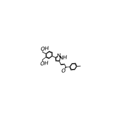 Cc1ccc(C(=O)/C=C/c2cc(-c3ccc(CO)c(CO)c3)n[nH]2)cc1